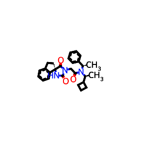 C[C@@H](c1ccccc1)N(C(=O)CN1C(=O)N[C@]2(CCc3ccccc32)C1=O)[C@@H](C)C1CCC1